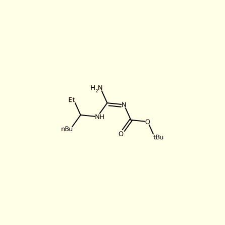 CCCCC(CC)N/C(N)=N\C(=O)OC(C)(C)C